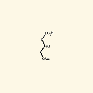 COCCOC(=O)O.Cl